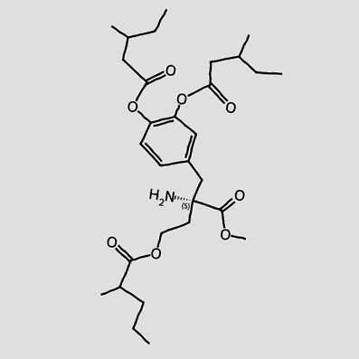 CCCC(C)C(=O)OCC[C@@](N)(Cc1ccc(OC(=O)CC(C)CC)c(OC(=O)CC(C)CC)c1)C(=O)OC